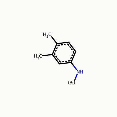 Cc1ccc(NC(C)(C)C)cc1C